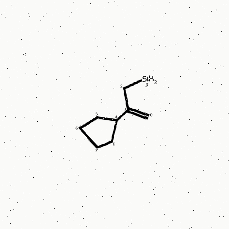 C=C(C[SiH3])C1CCCC1